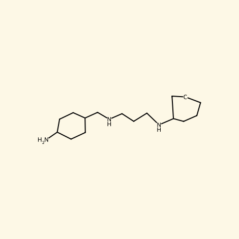 NC1CCC(CNCCCNC2CCCCC2)CC1